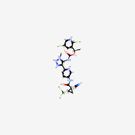 C[C@@H](OC(=O)Nc1c(-c2ccc(NC(=O)[C@@]3(C#N)C[C@@H]3C(F)F)cn2)nnn1C)c1cc(F)cnc1F